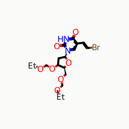 CCOCOC[C@@H]1O[C@H](n2cc(C=CBr)c(=O)[nH]c2=O)CC1OCOCC